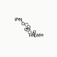 CONC(=O)c1ccc(C)c(-n2ccc3ccc(OCCN(C)C(C)C)cc3c2=O)c1